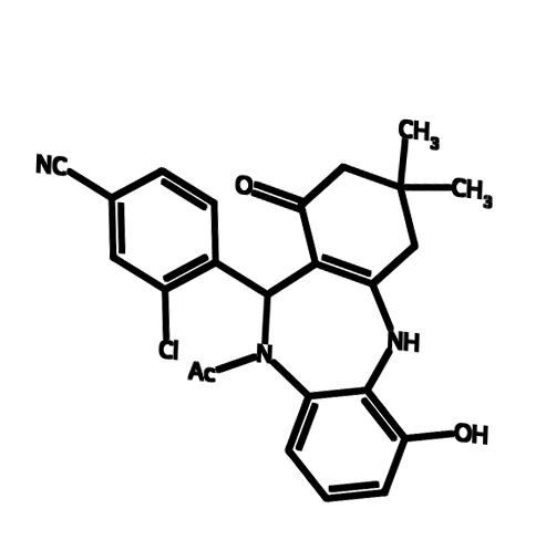 CC(=O)N1c2cccc(O)c2NC2=C(C(=O)CC(C)(C)C2)C1c1ccc(C#N)cc1Cl